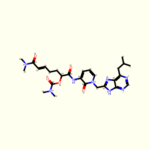 CC(C)Cc1ncnc2[nH]c(Cn3cccc(NC(=O)C(CCC=CC(=O)N(C)C)OC(=O)N(C)C)c3=O)nc12